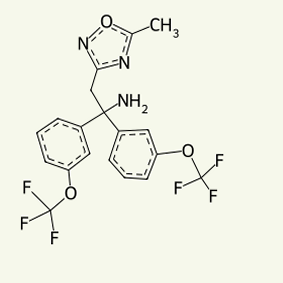 Cc1nc(CC(N)(c2cccc(OC(F)(F)F)c2)c2cccc(OC(F)(F)F)c2)no1